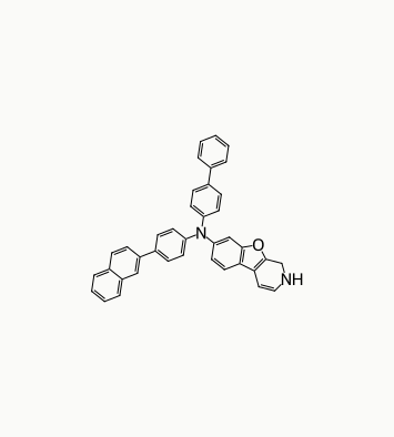 C1=Cc2c(oc3cc(N(c4ccc(-c5ccccc5)cc4)c4ccc(-c5ccc6ccccc6c5)cc4)ccc23)CN1